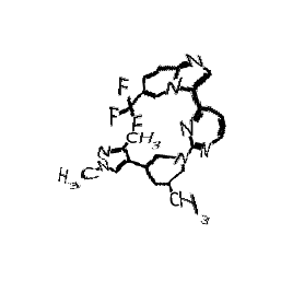 Cc1nn(C)cc1C1C[C@H](C)CN(c2nccc(-c3cnc4ccc(C(F)(F)F)cn34)n2)C1